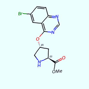 COC(=O)[C@@H]1C[C@@H](Oc2ncnc3ccc(Br)cc23)CN1